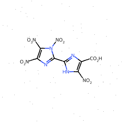 O=C(O)c1nc(-c2nc([N+](=O)[O-])c([N+](=O)[O-])n2[N+](=O)[O-])[nH]c1[N+](=O)[O-]